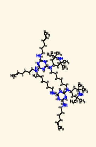 C=CCCCCNc1nc(NCCCCC=C)nc(N(CCCCCCN(c2nc(NCCCCC=C)nc(NCCCCC=C)n2)C2CC(C)(C)NC(C)(C)C2)C2CC(C)(C)NC(C)(C)C2)n1